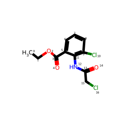 CCOC(=O)c1cccc(Cl)c1NC(=O)CCl